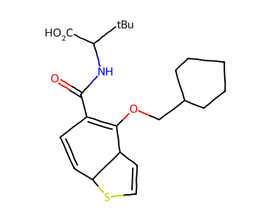 CC(C)(C)C(NC(=O)C1=C(OCC2CCCCC2)C2C=CSC2C=C1)C(=O)O